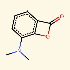 CN(C)c1cc[c]c2c1OC2=O